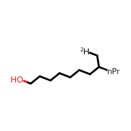 [2H]CC(CCC)CCCCCCCO